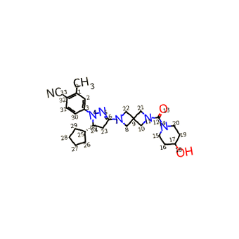 Cc1cc(N2N=C(N3CC4(CN(C(=O)N5CCC(O)CC5)C4)C3)C[C@@H]2C2CCCC2)ccc1C#N